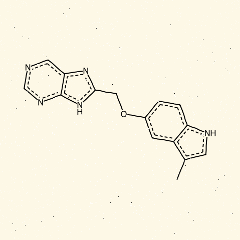 Cc1c[nH]c2ccc(OCc3nc4cncnc4[nH]3)cc12